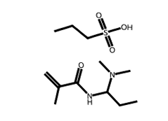 C=C(C)C(=O)NC(CC)N(C)C.CCCS(=O)(=O)O